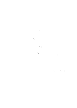 NC(=O)C(O)CN1NN(O)c2ccccc21